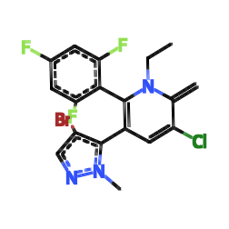 C=C1C(Cl)=CC(c2c(Br)cnn2C)=C(c2c(F)cc(F)cc2F)N1CC